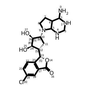 NC1NCNC2C1CCN2[C@@H]1C[C@H]([C@@H]2OC(=O)c3cc(Cl)ccc32)[C@@H](O)[C@H]1O